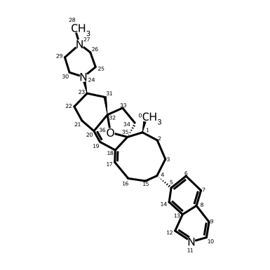 C[C@H]1CC[C@H](c2ccc3ccncc3c2)CC/C=C2/C=C3CC[C@@H](N4CCN(C)CC4)C[C@]34CC[C@@]21O4